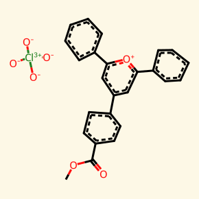 COC(=O)c1ccc(-c2cc(-c3ccccc3)[o+]c(-c3ccccc3)c2)cc1.[O-][Cl+3]([O-])([O-])[O-]